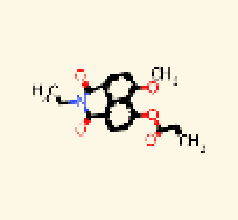 C=CC(=O)Oc1ccc2c3c(ccc(OC)c13)C(=O)N(CC)C2=O